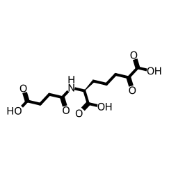 O=C(O)CCC(=O)N[C@@H](CCCC(=O)C(=O)O)C(=O)O